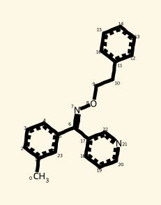 Cc1cccc(C(=NOCCc2ccccc2)c2cccnc2)c1